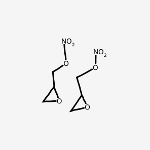 O=[N+]([O-])OCC1CO1.O=[N+]([O-])OCC1CO1